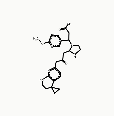 COc1ccc(C(CC(=O)O)N2CCNC2CC(=O)Cc2ccc3c(n2)NCCC32CC2)cn1